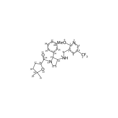 COc1ncc(C(F)(F)F)cc1CNC1CCN(C(=O)C2CCC(C)(C)O2)C1c1ccccc1